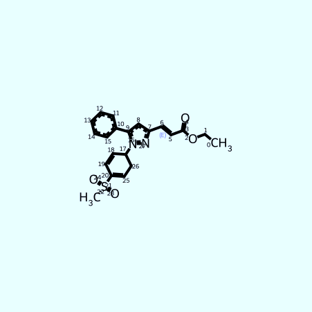 CCOC(=O)/C=C/c1cc(-c2ccccc2)n(C2C=CC(S(C)(=O)=O)=CC2)n1